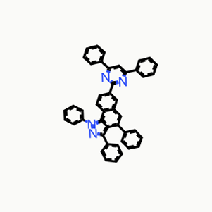 c1ccc(-c2cc(-c3ccccc3)nc(-c3ccc4c(c3)cc(-c3ccccc3)c3c(-c5ccccc5)nn(-c5ccccc5)c34)n2)cc1